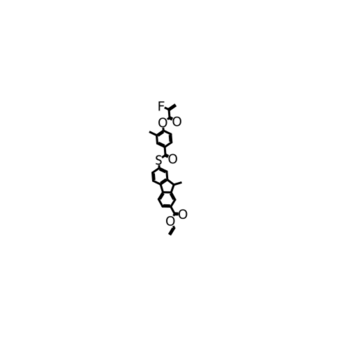 C=COC(=O)c1ccc2c(c1)C(C)c1cc(SC(=O)c3ccc(OC(=O)C(=C)F)c(C)c3)ccc1-2